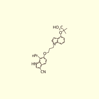 CCCc1c(OCCCn2ccc3c(OC(C)(C)C(=O)O)cccc32)ccc2c(C#N)c[nH]c12